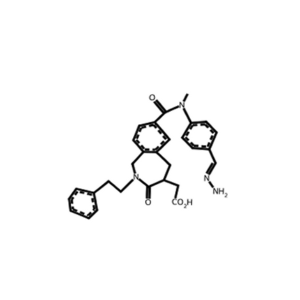 CN(C(=O)c1ccc2c(c1)CC(CC(=O)O)C(=O)N(CCc1ccccc1)C2)c1ccc(C=NN)cc1